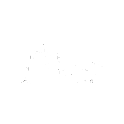 C=C(C)[C@@H]1CC[C@]2(NCCN3CCS(=O)(=O)CC3)CC[C@]3(C)[C@H](CC[C@@H]4[C@@]5(C)CC=C(C6=CCC(COc7ncccc7C#N)(C(=O)O)CC6)C(C)(C)[C@@H]5CC[C@]43C)[C@@H]12